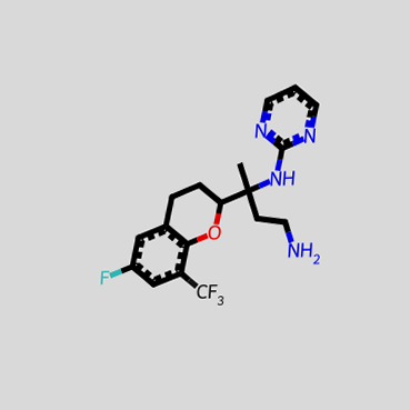 CC(CCN)(Nc1ncccn1)C1CCc2cc(F)cc(C(F)(F)F)c2O1